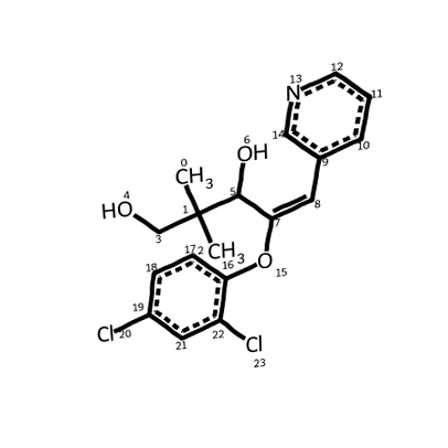 CC(C)(CO)C(O)/C(=C\c1cccnc1)Oc1ccc(Cl)cc1Cl